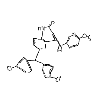 Cc1ccc(Nc2cc(=O)[nH]c3ccc(C(c4ccc(Cl)cc4)c4ccc(Cl)cc4)cc23)cn1